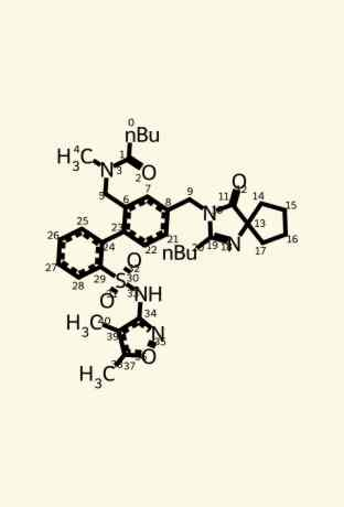 CCCCC(=O)N(C)Cc1cc(CN2C(=O)C3(CCCC3)N=C2CCCC)ccc1-c1ccccc1S(=O)(=O)Nc1noc(C)c1C